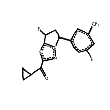 O=C(c1nc2n(n1)C(c1cc(F)cc(C(F)(F)F)c1)CC2F)C1CC1